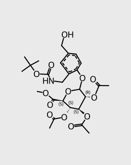 COC(=O)[C@H]1OC(Oc2ccc(CO)cc2CNC(=O)OC(C)(C)C)[C@H](OC(C)=O)[C@@H](OC(C)=O)[C@@H]1OC(C)=O